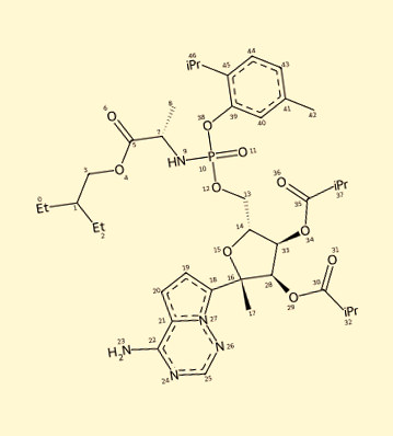 CCC(CC)COC(=O)[C@H](C)NP(=O)(OC[C@H]1O[C@@](C)(c2ccc3c(N)ncnn23)[C@H](OC(=O)C(C)C)[C@@H]1OC(=O)C(C)C)Oc1cc(C)ccc1C(C)C